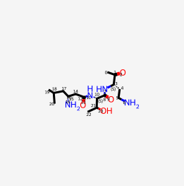 CC(=O)[C@H](CCN)NC(=O)[C@@H](NC(=O)C[C@H](N)CC(C)C)C(C)O